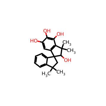 CC1(C)CC2(c3ccccc31)c1cc(O)c(O)c(O)c1C(C)(C)C2O